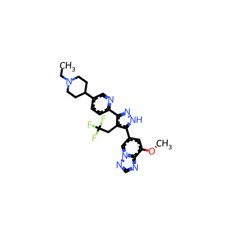 CCN1CCC(c2ccc(-c3n[nH]c(-c4cc(OC)c5ncnn5c4)c3CC(F)(F)F)nc2)CC1